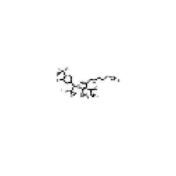 CCCCOCc1nn(C(c2ccc(C(F)(F)F)c(F)c2)C2(C)CC2)c(N)c1C(N)=O